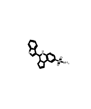 NS(=O)(=O)c1ccc2c(c1)C1C=CCC1C(c1csc3ccccc13)N2